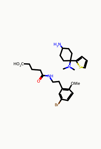 CN(C)C1(c2cccs2)CCC(N)CC1.COc1ccc(Br)cc1CCNC(=O)CCCC(=O)O